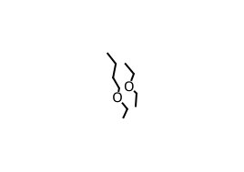 CCCCOCC.CCOCC